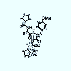 COc1ccc(C[C@H](NC(=O)[C@@H](C)NC(=O)C2CCCC2)C(=O)N[C@@H](CC2CCCC2)C(=O)[C@H]2CO2)cc1